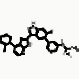 CC(C)Nc1cncc(-c2cc3c(-c4nc5c(-c6ccccc6F)ccnc5[nH]4)n[nH]c3cc2F)c1